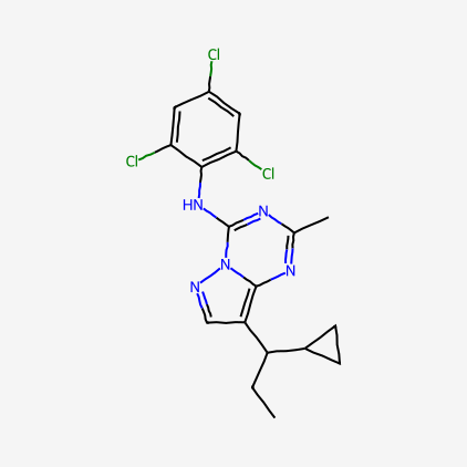 CCC(c1cnn2c(Nc3c(Cl)cc(Cl)cc3Cl)nc(C)nc12)C1CC1